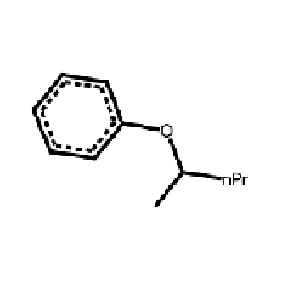 CCCC(C)Oc1ccccc1